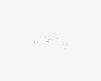 C[C@H]1C[C@]2(CCN1C(=O)OC(C)(C)C)CN(C(=O)OCc1ccccc1)[C@@H]2C